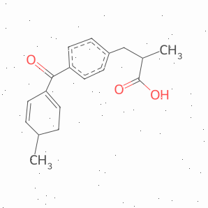 CC1C=CC(C(=O)c2ccc(CC(C)C(=O)O)cc2)=CC1